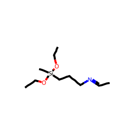 CC=NCCC[Si](C)(OCC)OCC